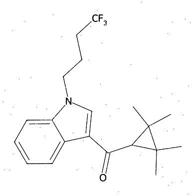 CC1(C)C(C(=O)c2cn(CCCC(F)(F)F)c3ccccc23)C1(C)C